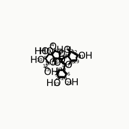 O=C1CC(=O)[C@@]2(O)[C@@H](O)[C@H](O)[C@@H](CO)OC12Oc1c(-c2ccc(O)c(O)c2)oc2cc(O)cc(O)c2c1=O